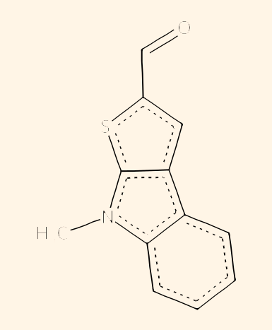 Cn1c2ccccc2c2cc(C=O)sc21